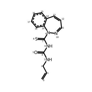 C=CCNC(=O)NC(=S)N1N=CC=Cc2ccccc21